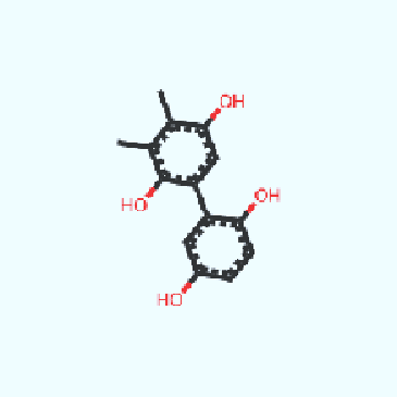 Cc1c(O)cc(-c2cc(O)ccc2O)c(O)c1C